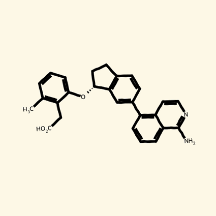 Cc1cccc(O[C@@H]2CCc3ccc(-c4cccc5c(N)nccc45)cc32)c1CC(=O)O